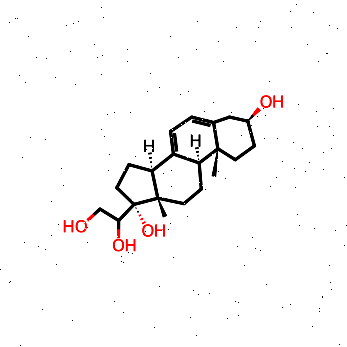 C[C@]12CC[C@H](O)CC1=CC=C1[C@@H]2CC[C@@]2(C)[C@H]1CC[C@]2(O)C(O)CO